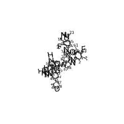 Cc1cc(-n2nc3c(c2-n2ccn(-c4ccc5c(cnn5C)c4F)c2=O)[C@H](C)N(C(=O)c2cc4cc(C5CCOCC5)ccc4n2C2(c4nnn[nH]4)[C@@H]4CNC[C@@H]42)CC3)cc(C)c1F